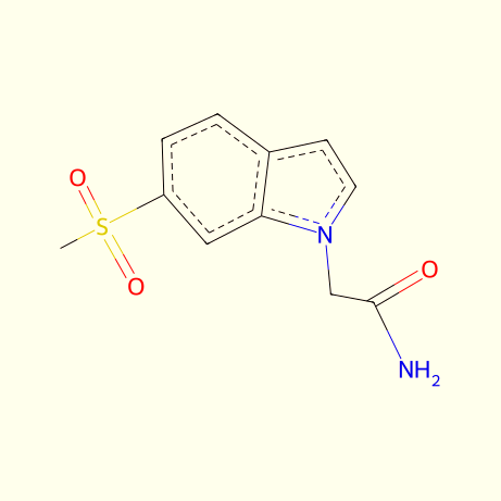 CS(=O)(=O)c1ccc2ccn(CC(N)=O)c2c1